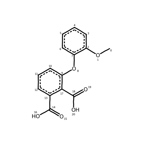 COc1ccccc1Oc1cccc(C(=O)O)c1C(=O)O